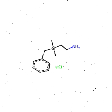 C[Si](C)(CCN)Cc1ccccc1.Cl